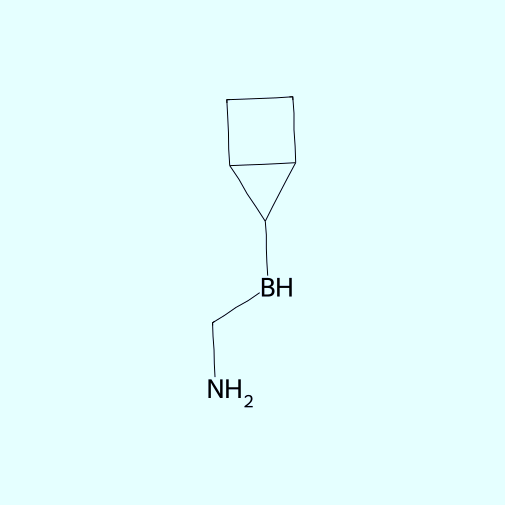 NCBC1C2CCC12